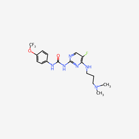 CN(C)CCCNc1nc(NC(=O)Nc2ccc(OC(F)(F)F)cc2)ncc1F